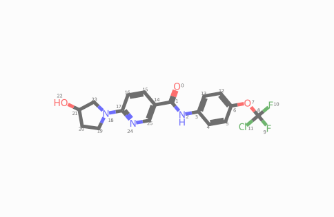 O=C(Nc1ccc(OC(F)(F)Cl)cc1)c1ccc(N2CCC(O)C2)nc1